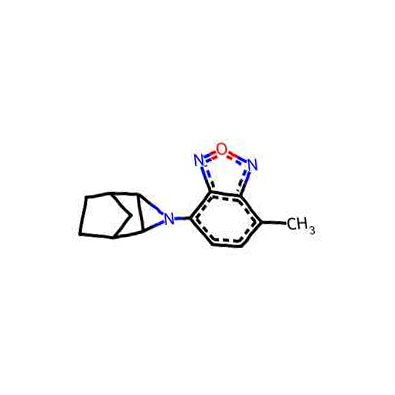 Cc1ccc(N2C3C4CCC(C4)C32)c2nonc12